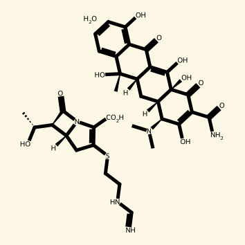 CN(C)[C@@H]1C(O)=C(C(N)=O)C(=O)[C@@]2(O)C(O)=C3C(=O)c4c(O)cccc4[C@@](C)(O)[C@H]3C[C@@H]12.C[C@@H](O)[C@H]1C(=O)N2C(C(=O)O)=C(SCCNC=N)C[C@H]12.O